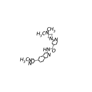 CN(C)C1CN(c2cc(C(=O)Nc3cc4cc(-c5cnn(C)c5)ccc4cn3)ccn2)C1